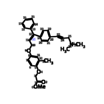 COC(=O)COc1ccc(OC/C=C(/c2ccccc2)c2ccc(C#CCN(C)C)cc2)cc1C